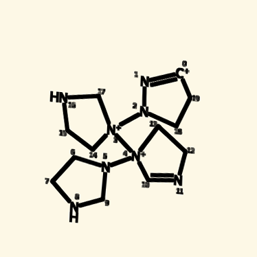 [C+]1=NN([N+]2([N+]3(N4CCNC4)C=NCC3)CCNC2)CC1